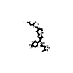 Cc1nonc1C(=O)N[C@H](c1cn2ncc([C@@H](C)NC(=O)CCC(F)(F)F)cc2n1)C1CCC(F)(F)CC1